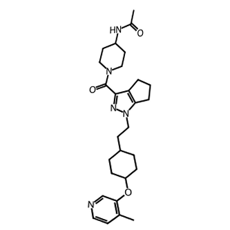 CC(=O)NC1CCN(C(=O)c2nn(CCC3CCC(Oc4cnccc4C)CC3)c3c2CCC3)CC1